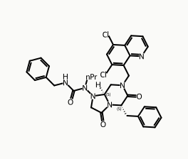 CCCN(C(=O)NCc1ccccc1)N1CC(=O)N2[C@@H](Cc3ccccc3)C(=O)N(Cc3c(Cl)cc(Cl)c4cccnc34)C[C@@H]21